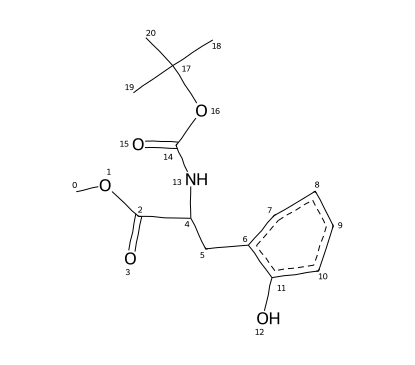 COC(=O)C(Cc1ccccc1O)NC(=O)OC(C)(C)C